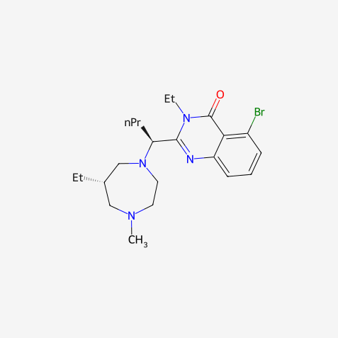 CCC[C@@H](c1nc2cccc(Br)c2c(=O)n1CC)N1CCN(C)C[C@H](CC)C1